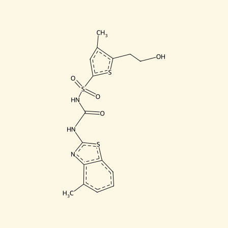 Cc1cc(S(=O)(=O)NC(=O)Nc2nc3c(C)cccc3s2)sc1CCO